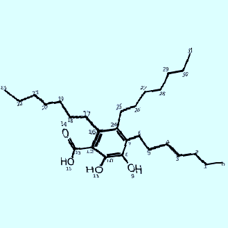 CCCCCCCc1c(O)c(O)c(C(=O)O)c(CCCCCCC)c1CCCCCCC